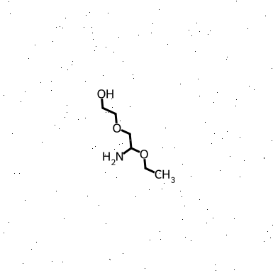 CCOC(N)COCCO